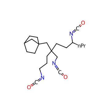 CCCC(CCC(CCCN=C=O)(CN=C=O)CC12CCC(CC1)C2)N=C=O